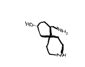 N[C@@H]1C[C@@H](O)CC12CCNCC2